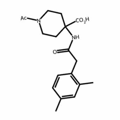 CC(=O)N1CCC(NC(=O)Cc2ccc(C)cc2C)(C(=O)O)CC1